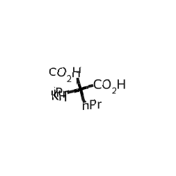 CCCC(C(=O)O)(C(=O)O)C(C)C.[KH]